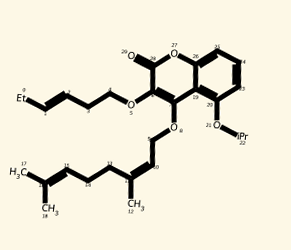 CCC=CCCOc1c(OCC=C(C)CCC=C(C)C)c2c(OC(C)C)cccc2oc1=O